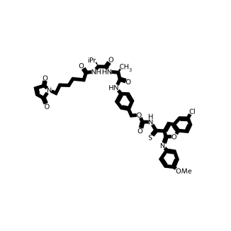 COc1ccc(/N=c2\oc3ccc(Cl)cc3cc2C(=S)NC(=O)OCc2ccc(NC(=O)[C@H](C)NC(=O)[C@H](NC(=O)CCCCCN3C(=O)C=CC3=O)C(C)C)cc2)cc1